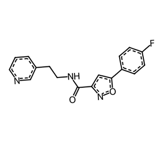 O=C(NCCc1cccnc1)c1cc(-c2ccc(F)cc2)on1